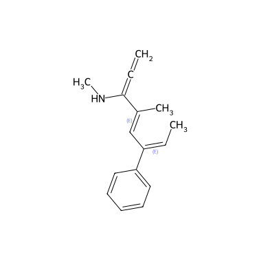 C=C=C(NC)/C(C)=C/C(=C\C)c1ccccc1